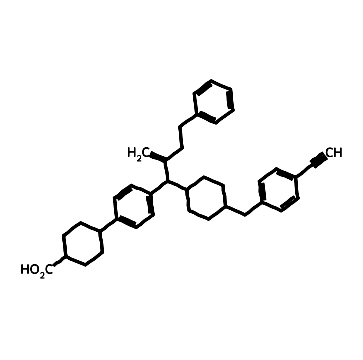 C#Cc1ccc(CC2CCC(C(C(=C)CCc3ccccc3)c3ccc(C4CCC(C(=O)O)CC4)cc3)CC2)cc1